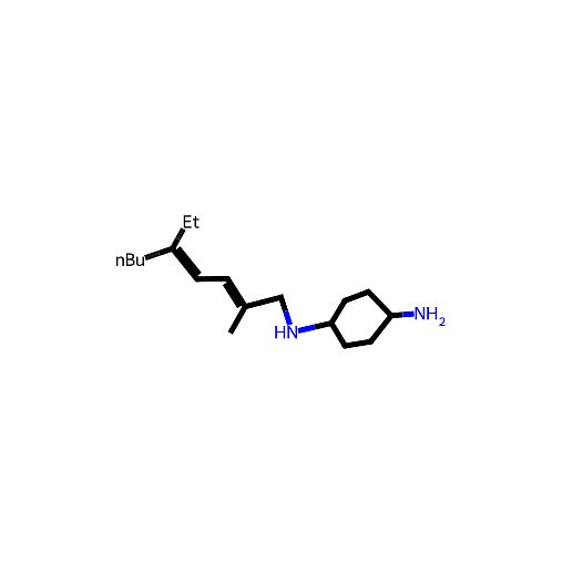 CCCC/C(=C/C=C(\C)CNC1CCC(N)CC1)CC